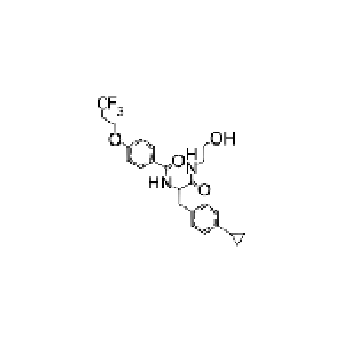 O=C(NCCO)/C(=C\c1ccc(C2CC2)cc1)NC(=O)c1ccc(OCCC(F)(F)F)cc1